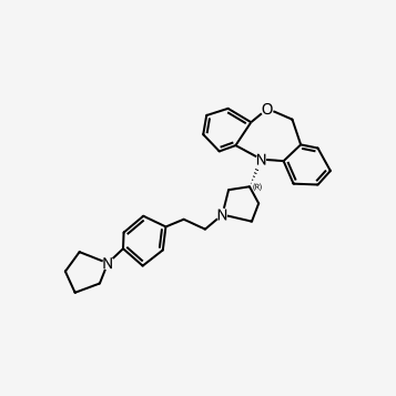 c1ccc2c(c1)COc1ccccc1N2[C@@H]1CCN(CCc2ccc(N3CCCC3)cc2)C1